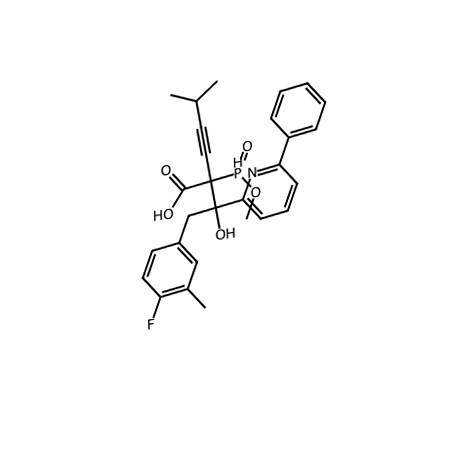 CO[PH](=O)C(C#CC(C)C)(C(=O)O)C(O)(Cc1ccc(F)c(C)c1)c1cccc(-c2ccccc2)n1